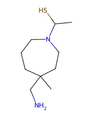 CC(S)N1CCCC(C)(CN)CC1